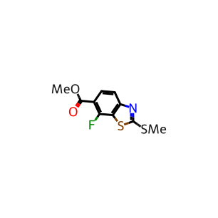 COC(=O)c1ccc2nc(SC)sc2c1F